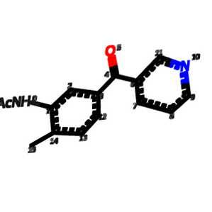 CC(=O)Nc1cc(C(=O)c2cccnc2)ccc1C